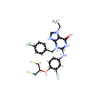 CCn1cnc2c1c(=O)nc(Nc1ccc(OC(CF)CF)c(Cl)c1)n2Cc1ccc(Cl)cc1